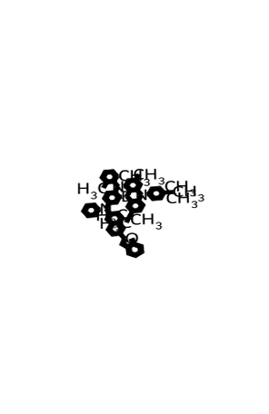 Cc1cc2c3c(c1)N(c1c(C)cccc1C)c1ccc(N(c4ccccc4)c4ccc5cc(-c6cc7ccccc7o6)ccc5c4)cc1B3c1cc(C(C)(C)C)ccc1N2c1ccc(C(C)(C)C)cc1